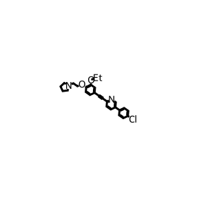 CCOc1cc(C#Cc2ccc(-c3ccc(Cl)cc3)cn2)ccc1OCCN1CCCC1